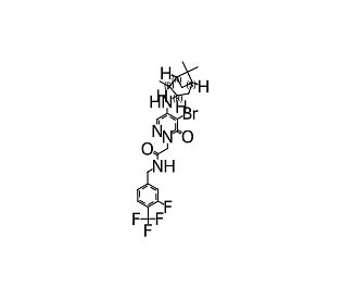 C[C@@H]1[C@H]2C[C@@H](C[C@H]1Nc1cnn(CC(=O)NCc3ccc(C(F)(F)F)c(F)c3)c(=O)c1Br)C2(C)C